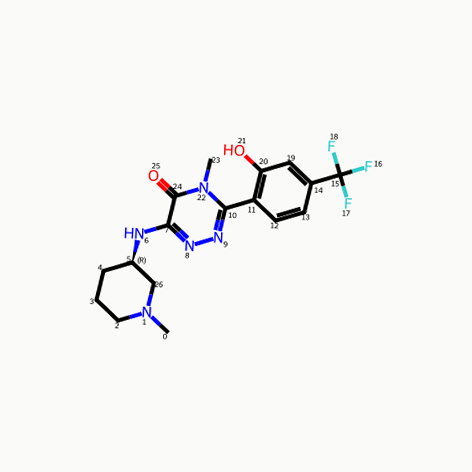 CN1CCC[C@@H](Nc2nnc(-c3ccc(C(F)(F)F)cc3O)n(C)c2=O)C1